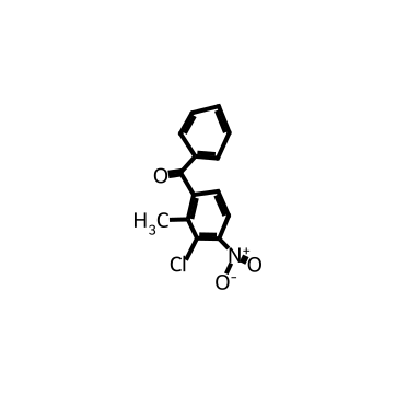 Cc1c(C(=O)c2ccccc2)ccc([N+](=O)[O-])c1Cl